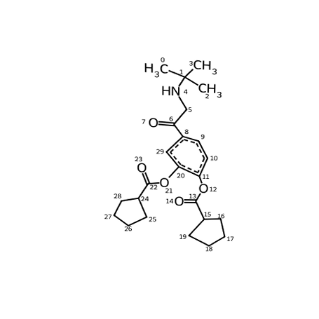 CC(C)(C)NCC(=O)c1ccc(OC(=O)C2CCCC2)c(OC(=O)C2CCCC2)c1